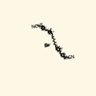 Cc1c[n+](CCCCCCCCCC[n+]2ccc(/C=C/c3ccc(N(C)CCC#N)cc3)c(C)c2)ccc1/C=C/c1ccc(N(C)CCC#N)cc1.[Br-].[Br-]